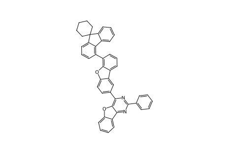 c1ccc(-c2nc(-c3ccc4oc5c(-c6cccc7c6-c6ccccc6C76CCCCC6)cccc5c4c3)c3oc4ccccc4c3n2)cc1